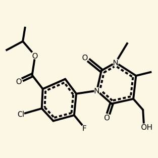 Cc1c(CO)c(=O)n(-c2cc(C(=O)OC(C)C)c(Cl)cc2F)c(=O)n1C